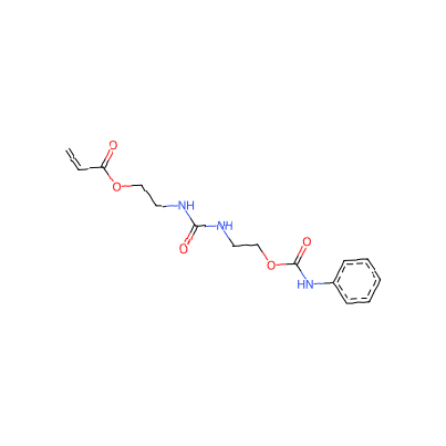 C=CC(=O)OCCNC(=O)NCCOC(=O)Nc1ccccc1